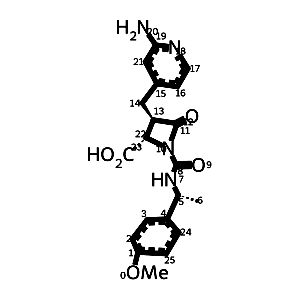 COc1ccc([C@@H](C)NC(=O)N2C(=O)[C@H](Cc3ccnc(N)c3)[C@H]2C(=O)O)cc1